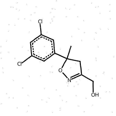 CC1(c2cc(Cl)cc(Cl)c2)CC(CO)=NO1